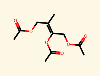 CC(=O)OCC(C)=C(COC(C)=O)OC(C)=O